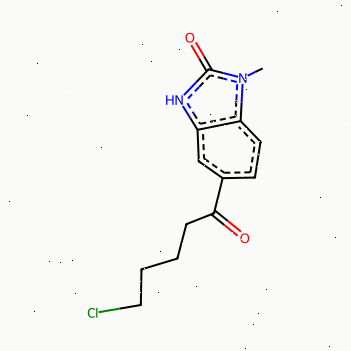 Cn1c(=O)[nH]c2cc(C(=O)CCCCCl)ccc21